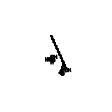 CCCCCCCCCCCCCCCCCCSCC(CO)OCC[S+](C)[O-].O=[PH](O)O